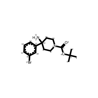 CC(C)(C)OC(=O)N1CCC(N)(c2cccc(Br)c2)CC1